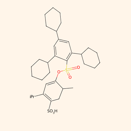 CC(C)C1=C(S(=O)(=O)O)CC(C)C(OS(=O)(=O)c2c(C3CCCCC3)cc(C3CCCCC3)cc2C2CCCCC2)=C1